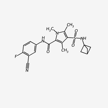 Cc1c(S(=O)(=O)NC23CC(C2)C3)c(C)n(C)c1C(=O)Nc1ccc(F)c(C#N)c1